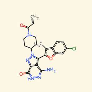 C=CC(=O)N1CCC(n2nc3c(=O)[nH]nc(N)c3c2-c2oc3cc(Cl)ccc3c2C)CC1